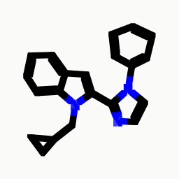 c1ccc(-n2ccnc2-c2cc3ccccc3n2CC2CC2)cc1